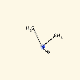 CCCCCCCCCCCCCCCCCc1nc(CCCc2ccccc2)cn1CCCCCCCCCCCCCCC